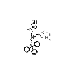 CCN(CC)CCN(CCNC(=O)CS)CCSC(c1ccccc1)(c1ccccc1)c1ccccc1